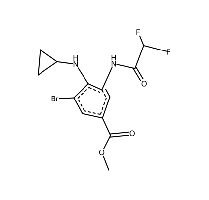 COC(=O)c1cc(Br)c(NC2CC2)c(NC(=O)C(F)F)c1